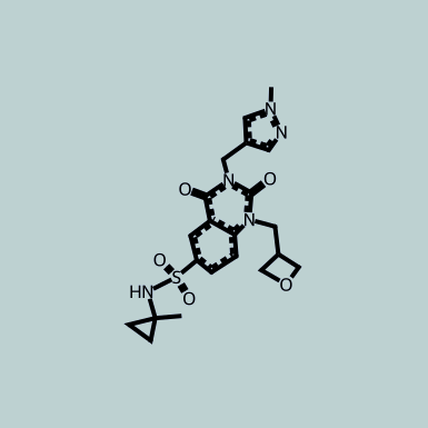 Cn1cc(Cn2c(=O)c3cc(S(=O)(=O)NC4(C)CC4)ccc3n(CC3COC3)c2=O)cn1